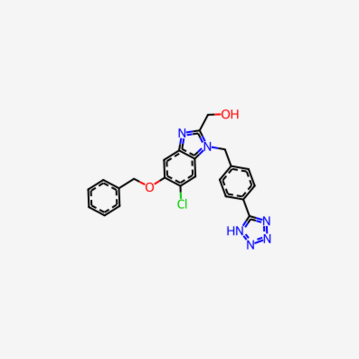 OCc1nc2cc(OCc3ccccc3)c(Cl)cc2n1Cc1ccc(-c2nnn[nH]2)cc1